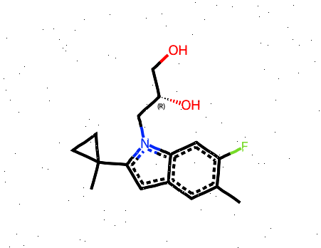 Cc1cc2cc(C3(C)CC3)n(C[C@@H](O)CO)c2cc1F